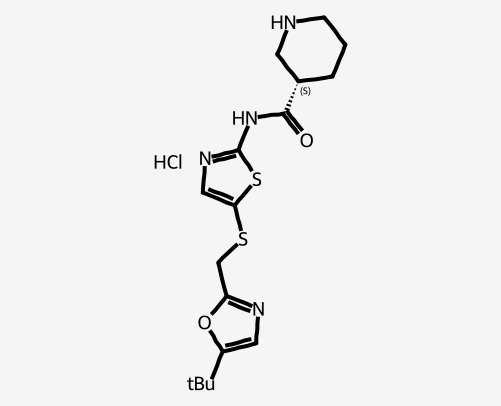 CC(C)(C)c1cnc(CSc2cnc(NC(=O)[C@H]3CCCNC3)s2)o1.Cl